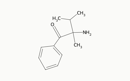 CC(C)C(C)(N)C(=O)c1ccccc1